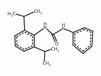 CC(C)c1cccc(C(C)C)c1NC(=O)Nc1ccccc1